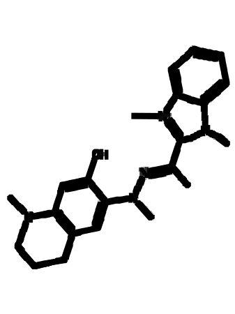 C/C(=N\N(C)c1cc2c(cc1O)N(C)CCC2)c1n(C)c2ccccc2[n+]1C